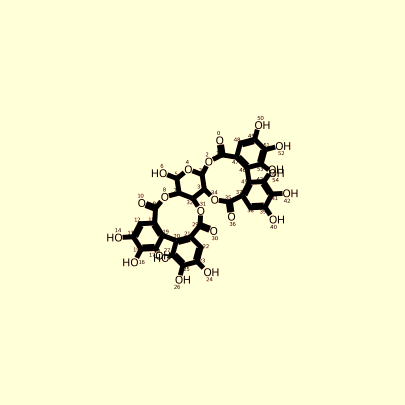 O=C1OC2OC(O)C3OC(=O)c4cc(O)c(O)c(O)c4-c4c(cc(O)c(O)c4O)C(=O)OC3C2OC(=O)c2cc(O)c(O)c(O)c2-c2c1cc(O)c(O)c2O